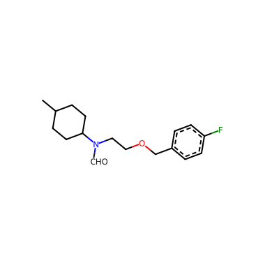 CC1CCC(N(C=O)CCOCc2ccc(F)cc2)CC1